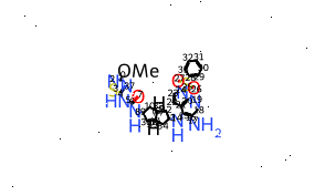 COc1nsc(NC(=O)NC2C[C@@H]3CC(Nc4c(N)cnc5c4ccn5S(=O)(=O)c4ccccc4)C[C@@H]3C2)n1